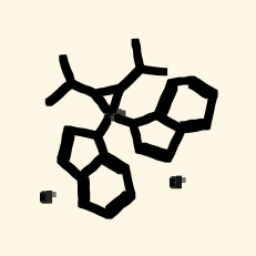 CC(C)[CH]1[CH](C(C)C)[Zr+2]1([CH]1C=Cc2ccccc21)[CH]1C=Cc2ccccc21.[Cl-].[Cl-]